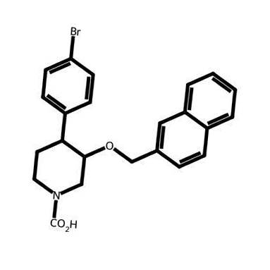 O=C(O)N1CCC(c2ccc(Br)cc2)C(OCc2ccc3ccccc3c2)C1